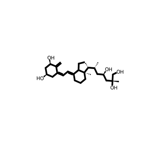 C=C1/C(=C\C=C2CCC[C@@]3(C)C2CC[C@@H]3[C@H](C)C[C@@H](O)C[C@@](C)(O)CO)C[C@@H](O)C[C@H]1O